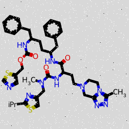 Cc1nnc2n1CCN(CCC(NC(=O)N(C)Cc1csc(C(C)C)n1)C(=O)NC(CCC(Cc1ccccc1)NC(=O)OCc1cncs1)Cc1ccccc1)C2